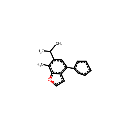 Cc1c(C(C)C)cc(-c2ccccc2)c2ccoc12